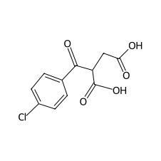 O=C(O)CC(C(=O)O)C(=O)c1ccc(Cl)cc1